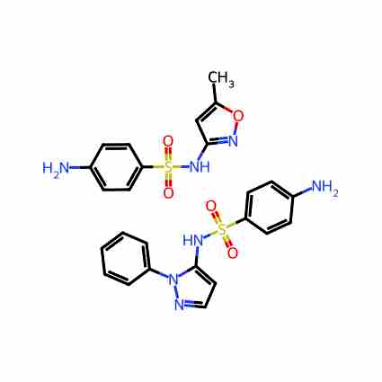 Cc1cc(NS(=O)(=O)c2ccc(N)cc2)no1.Nc1ccc(S(=O)(=O)Nc2ccnn2-c2ccccc2)cc1